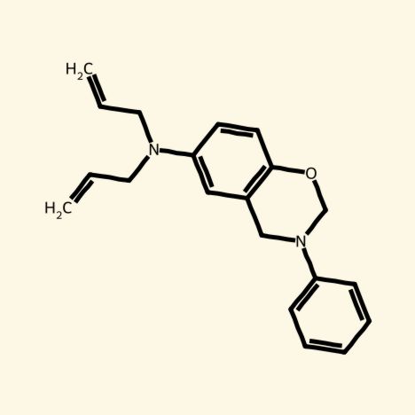 C=CCN(CC=C)c1ccc2c(c1)CN(c1ccccc1)CO2